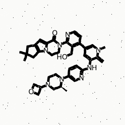 C=C1C(Nc2ccc(N3CCN(C4COC4)C[C@@H]3C)cn2)=CC(c2ccnc(N3CCn4c(cc5c4CC(C)(C)C5)C3=O)c2CO)=CN1C